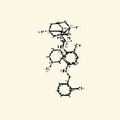 N#Cc1cnc(NCc2ccccc2Cl)nc1NC[C@]12CC3C[C@H](C1)[C@@H](NC[C@H]1CC[C@H](O)CC1)[C@@H](C3)C2